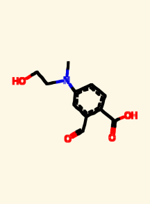 CN(CCO)c1ccc(C(=O)O)c(C=O)c1